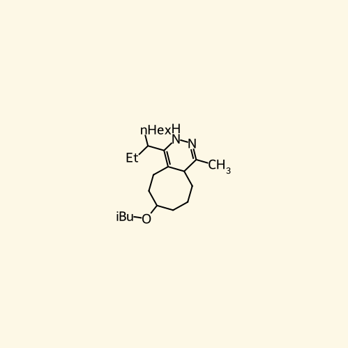 CCCCCCC(CC)C1=C2CCC(OC(C)CC)CCCC2C(C)=NN1